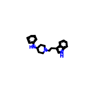 c1ccc(NC2CCN(CCc3c[nH]c4ccccc34)CC2)cc1